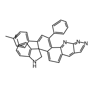 Cc1ccc(C2=CC(c3ccccc3)=c3c(ccc4cc5c(nc34)=NN=C5)C23CNc2ccc(F)cc23)cc1